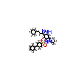 O=S(=O)(Nc1cc2c(/C=C/c3ccccc3)n[nH]c2cc1N1CCCC1)c1ccc(-c2ccccc2)cc1